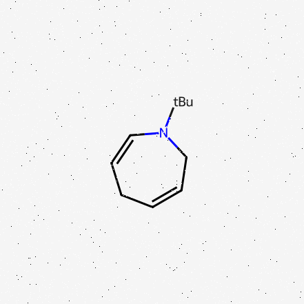 CC(C)(C)N1C=CCC=CC1